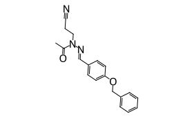 CC(=O)N(CCC#N)/N=C/c1ccc(OCc2ccccc2)cc1